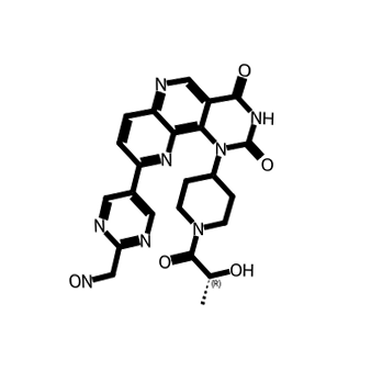 C[C@@H](O)C(=O)N1CCC(n2c(=O)[nH]c(=O)c3cnc4ccc(-c5cnc(CN=O)nc5)nc4c32)CC1